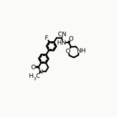 CN1CCc2cc(-c3ccc(C[C@@H](C#N)NC(=O)C4CNCCCO4)c(F)c3)ccc2C1=O